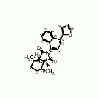 CC12CC[C@@](C)(O1)[C@H]1C(=O)N(c3ccc(-c4cnco4)c4ccccc34)C(=O)[C@H]12